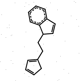 C1=CCC(CCC2C=Cc3ccccc32)=C1